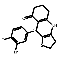 O=C1CCCC2=C1[C@H](c1ccc(F)c(Br)c1)C1=C(CCS1)N2